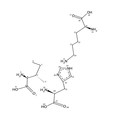 CC[C@H](C)[C@H](N)C(=O)O.NCCCC[C@H](N)C(=O)O.N[C@@H](Cc1c[nH]cn1)C(=O)O